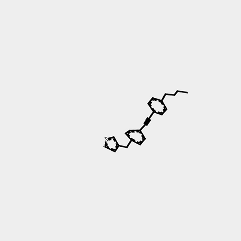 CCCCc1ccc(C#Cc2ccc(Cc3c[c]sc3)cc2)cc1